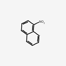 O=[N+]([O-])c1cccc2ccc[c]c12